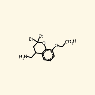 CCC1(CC)CC(CN)c2cccc(OCC(=O)O)c2O1